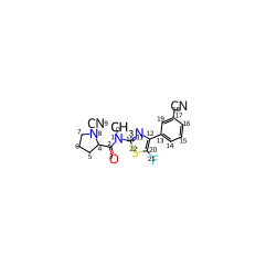 CN(C(=O)C1CCCN1C#N)c1nc(-c2cccc(C#N)c2)c(F)s1